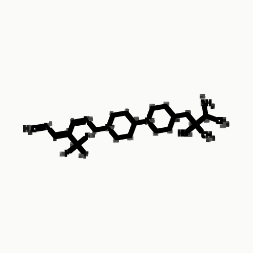 C=N/C=C(\C=N/CN1CCC(N2CCC(CC(C)(S)C(C)N)CC2)CC1)C(F)(F)F